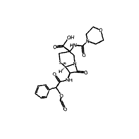 O=COC(C(=O)NC1C(=O)N2CC(NC(=O)N3CCOCC3)(C(=O)O)CS[C@H]12)c1ccccc1